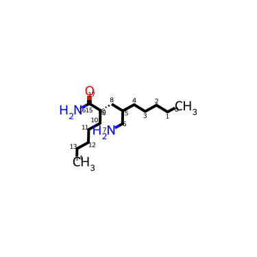 CCCCCC(CN)C[C@H](CCCCC)C(N)=O